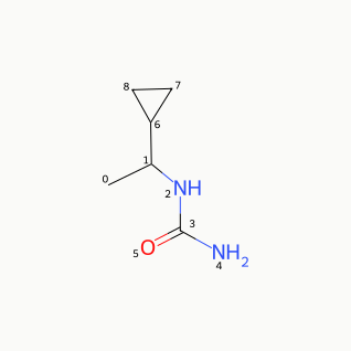 CC(NC(N)=O)C1CC1